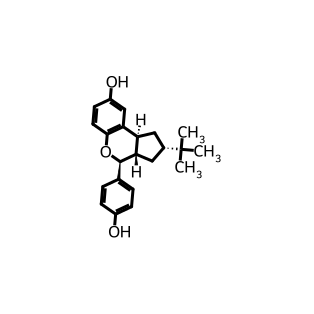 CC(C)(C)[C@@H]1C[C@H]2[C@H](C1)c1cc(O)ccc1O[C@@H]2c1ccc(O)cc1